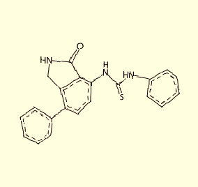 O=C1NCc2c(-c3ccccc3)ccc(NC(=S)Nc3ccccc3)c21